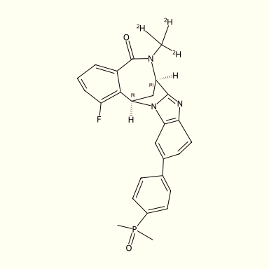 [2H]C([2H])([2H])N1C(=O)c2cccc(F)c2[C@H]2C[C@@H]1c1nc3ccc(-c4ccc(P(C)(C)=O)cc4)cc3n12